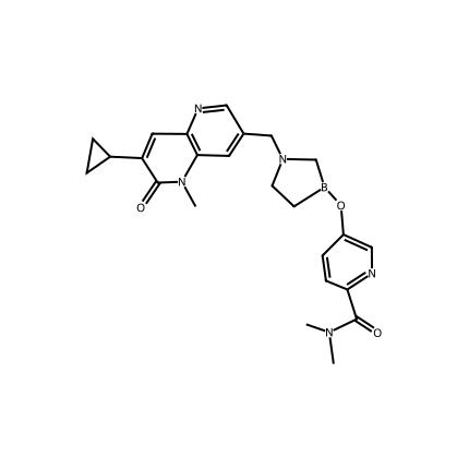 CN(C)C(=O)c1ccc(OB2CCN(Cc3cnc4cc(C5CC5)c(=O)n(C)c4c3)C2)cn1